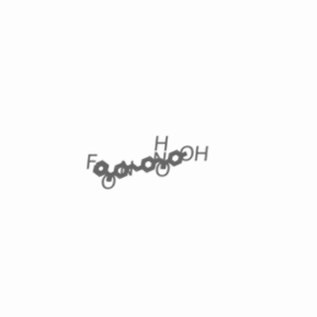 O=C(NC1CCC(CCN2CCC(C(=O)c3ccc(F)cc3)CC2)CC1)C1CCC(O)CC1